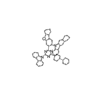 c1ccc(-c2ccc(-c3nc(-c4cc5oc6ccccc6c5cc4-n4c5ccccc5c5cc6ccccc6cc54)nc(-n4c5ccccc5c5ccccc54)n3)cc2)cc1